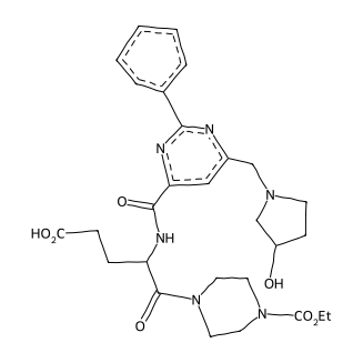 CCOC(=O)N1CCN(C(=O)C(CCC(=O)O)NC(=O)c2cc(CN3CCC(O)C3)nc(-c3ccccc3)n2)CC1